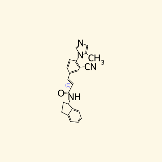 Cc1cncn1-c1ccc(/C=C/C(=O)NC2CCc3ccccc32)cc1C#N